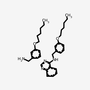 CCCCCCOc1cccc(CN)c1.CCCCCCOc1cccc(CNc2ncnc3ccccc23)c1